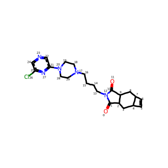 O=C1C2CC3C=CC3CC2C(=O)N1CCCCN1CCN(c2cncc(Cl)n2)CC1